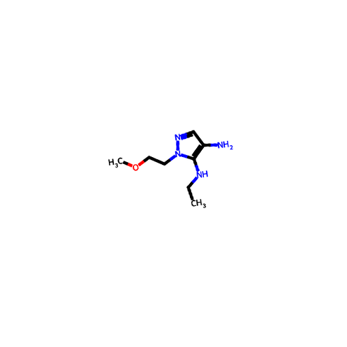 CCNc1c(N)cnn1CCOC